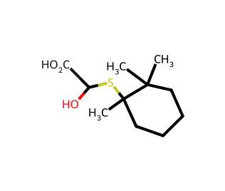 CC1(C)CCCCC1(C)SC(O)C(=O)O